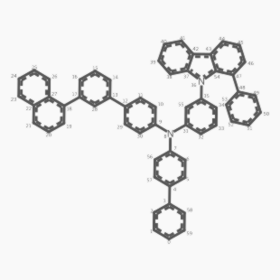 c1ccc(-c2ccc(N(c3ccc(-c4cccc(-c5cccc6ccccc56)c4)cc3)c3cccc(-n4c5ccccc5c5cccc(-c6ccccc6)c54)c3)cc2)cc1